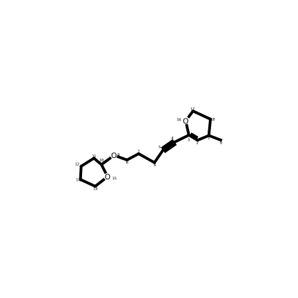 CC1C=C(C#CCCCOC2CCCCO2)OCC1